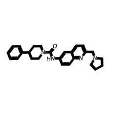 O=C(Nc1ccc2nc(CN3CCCC3)ccc2c1)N1CCC(c2ccccc2)CC1